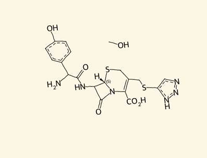 CO.NC(C(=O)NC1C(=O)N2C(C(=O)O)=C(CSc3cnn[nH]3)CS[C@@H]12)c1ccc(O)cc1